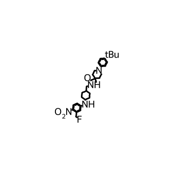 CC1(C(=O)NCC2CCC(Nc3ccc([N+](=O)[O-])c(CF)c3)CC2)CCN(c2ccc(C(C)(C)C)cc2)CC1